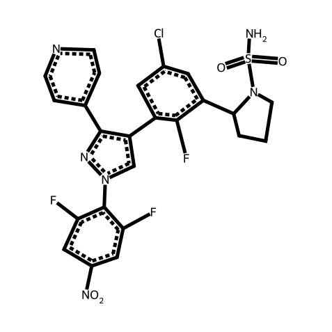 NS(=O)(=O)N1CCCC1c1cc(Cl)cc(-c2cn(-c3c(F)cc([N+](=O)[O-])cc3F)nc2-c2ccncc2)c1F